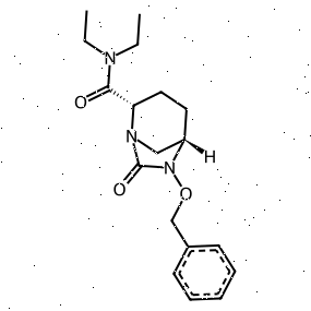 CCN(CC)C(=O)[C@@H]1CC[C@H]2CN1C(=O)N2OCc1ccccc1